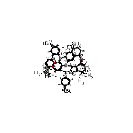 Cc1cc2c3c(c1)N(c1ccc(C(C)(C)C)cc1)c1oc4c5c1B3c1cc3c(cc1N2c1ccc(C(C)(C)C)cc1-c1ccc([SiH](C)C)cc1)C(C)(C)CCC3(C)CC5(C)CCC4(C)C